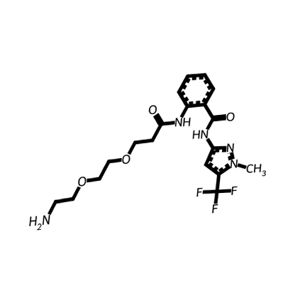 Cn1nc(NC(=O)c2ccccc2NC(=O)CCOCCOCCN)cc1C(F)(F)F